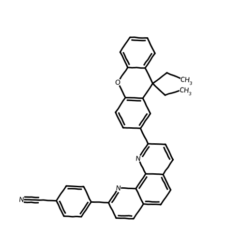 CCC1(CC)c2ccccc2Oc2ccc(-c3ccc4ccc5ccc(-c6ccc(C#N)cc6)nc5c4n3)cc21